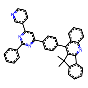 CC1(C)c2ccccc2-c2nc3ccccc3c(-c3ccc(-c4cc(-c5cccnc5)nc(-c5ccccc5)n4)cc3)c21